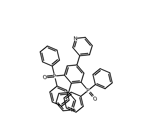 O=P(c1ccccc1)(c1ccccc1)c1cc(-c2cccnc2)cc(P(=O)(c2ccccc2)c2ccccc2)c1-c1cccnc1